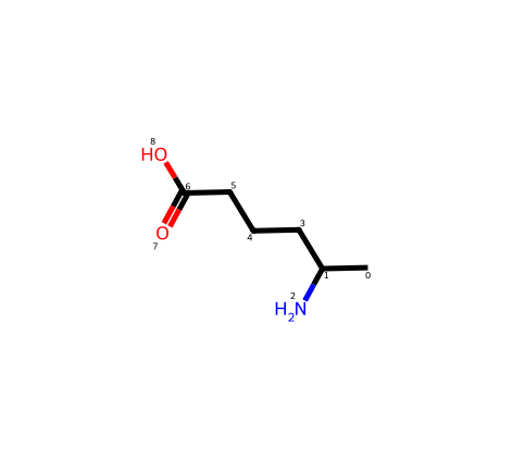 CC(N)CCCC(=O)O